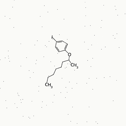 CCCCCCC(C)Oc1ccc(I)cc1